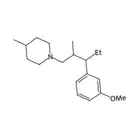 CCC(c1cccc(OC)c1)C(C)CN1CCC(C)CC1